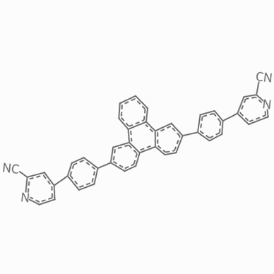 N#Cc1cc(-c2ccc(-c3ccc4c5ccc(-c6ccc(-c7ccnc(C#N)c7)cc6)cc5c5ccccc5c4c3)cc2)ccn1